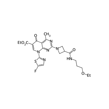 CCOCCCNC(=O)C1CN(c2nc(C)c3c(=O)c(C(=O)OCC)cn(-c4ncc(F)s4)c3n2)C1